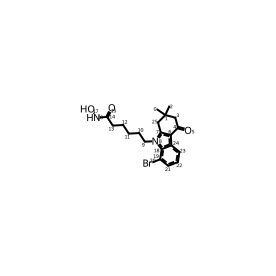 CC1(C)CC(=O)c2c(n(CCCCCC(=O)NO)c3c(Br)cccc23)C1